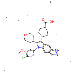 COc1cc(-n2c(C3CCOCC3)c([C@H]3CC[C@H](C(=O)O)CC3)c3cc4[nH]ncc4cc32)ccc1F